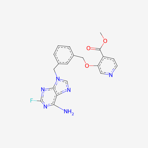 COC(=O)c1ccncc1OCc1cccc(Cn2cnc3c(N)nc(F)nc32)c1